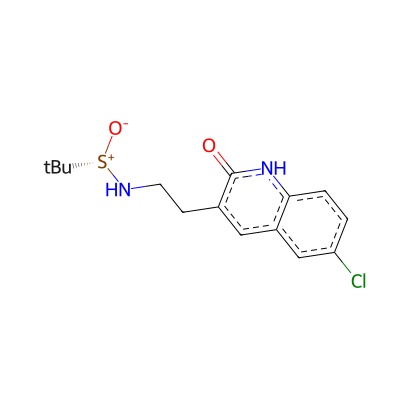 CC(C)(C)[S@+]([O-])NCCc1cc2cc(Cl)ccc2[nH]c1=O